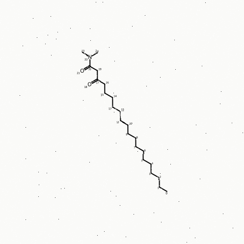 CCCCCCCCCCCCCCCCCC(=O)CC(=O)N(C)C